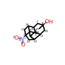 O=[N+]([O-])C12CC3C4CC5(O)CC3C(C1)C(C5)C4C2